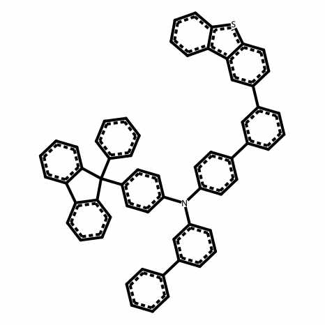 c1ccc(-c2cccc(N(c3ccc(-c4cccc(-c5ccc6sc7ccccc7c6c5)c4)cc3)c3ccc(C4(c5ccccc5)c5ccccc5-c5ccccc54)cc3)c2)cc1